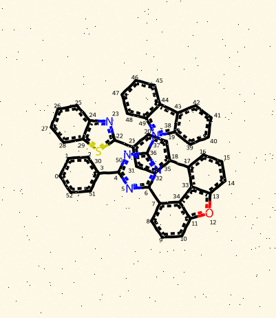 c1ccc(-c2nc(-c3cccc4oc5cccc(-c6ccc(-c7nc8ccccc8s7)cc6)c5c34)nc(-n3c4ccccc4c4ccccc43)n2)cc1